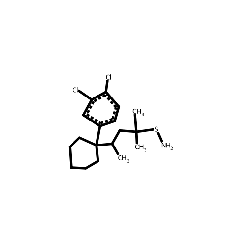 CC(CC(C)(C)SN)C1(c2ccc(Cl)c(Cl)c2)CCCCC1